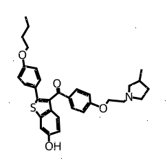 CCCCOc1ccc(-c2sc3cc(O)ccc3c2C(=O)c2ccc(OCCN3CCC(C)C3)cc2)cc1